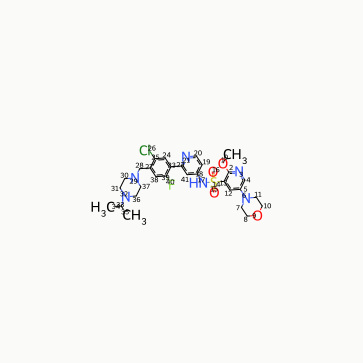 COc1ncc(N2CCOCC2)cc1S(=O)(=O)Nc1ccnc(-c2cc(Cl)c(CN3CCN(C(C)C)CC3)cc2F)c1